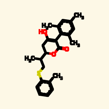 Cc1cc(C)c(C2=C(O)CC(C(C)CSc3ccccc3C)OC2=O)c(C)c1